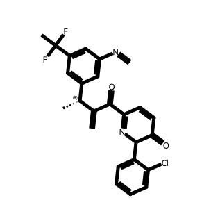 C=Nc1cc([C@@H](C)C(=C)C(=O)C2=NC(c3ccccc3Cl)C(=O)C=C2)cc(C(C)(F)F)c1